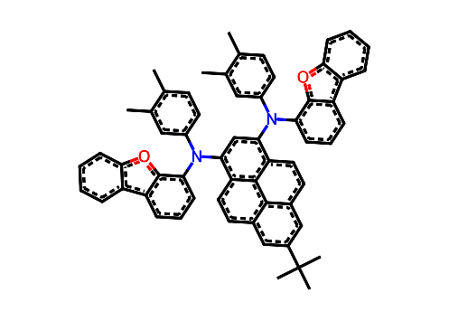 Cc1ccc(N(c2cc(N(c3ccc(C)c(C)c3)c3cccc4c3oc3ccccc34)c3ccc4cc(C(C)(C)C)cc5ccc2c3c54)c2cccc3c2oc2ccccc23)cc1C